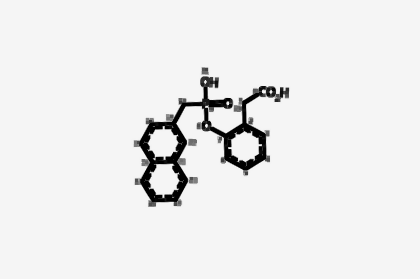 O=C(O)Cc1ccccc1OP(=O)(O)Cc1ccc2ccccc2c1